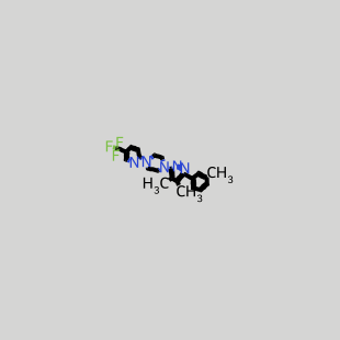 Cc1cccc(-c2nnc(N3CCN(c4ccc(C(F)(F)F)cn4)CC3)c(C)c2C)c1